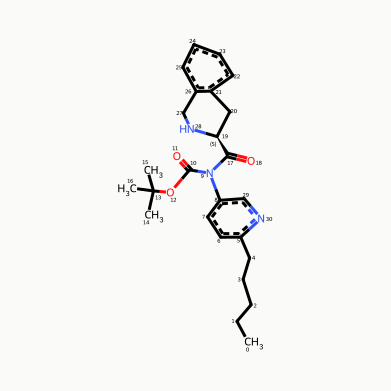 CCCCCc1ccc(N(C(=O)OC(C)(C)C)C(=O)[C@@H]2Cc3ccccc3CN2)cn1